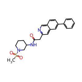 CS(=O)(=O)N1CCCC(NC(=O)Cc2cc3cc(-c4ccccc4)ccc3cn2)C1